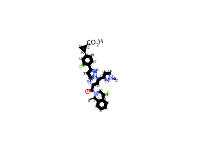 C[C@@H]1c2ccccc2C(F)CN1C(=O)c1cc(-c2ccn(C)n2)n2nc(-c3ccc([C@H]4C[C@@H]4C(=O)O)cc3F)cc2n1